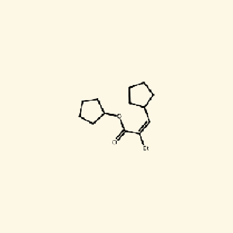 CCC(=CC1CCCC1)C(=O)OC1CCCC1